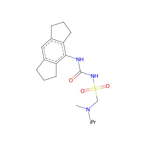 CC(C)N(C)CS(=O)(=O)NC(=O)Nc1c2c(cc3c1CCC3)CCC2